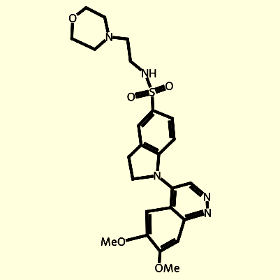 COc1cc2nncc(N3CCc4cc(S(=O)(=O)NCCN5CCOCC5)ccc43)c2cc1OC